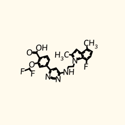 Cc1ccc(F)c2c1cc(C)n2CCNc1cc(-c2ccc(C(=O)O)c(OC(F)F)c2)ncn1